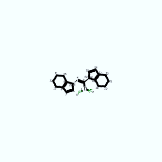 [F][Ti]([F])[C](=C[C@@H]1C=CC2=C1CCCC2)[C@H]1C=CC2=C1CCCC2